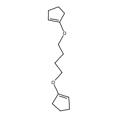 C1=C(OCCCCOC2=CCCC2)CCC1